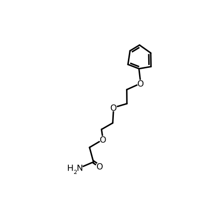 NC(=O)COCCOCCOc1ccccc1